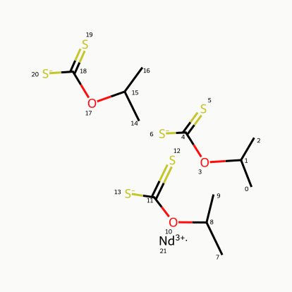 CC(C)OC(=S)[S-].CC(C)OC(=S)[S-].CC(C)OC(=S)[S-].[Nd+3]